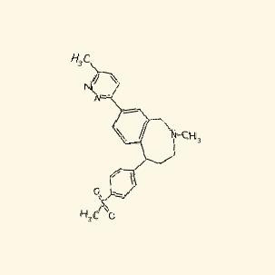 Cc1ccc(-c2ccc3c(c2)CN(C)CCC3c2ccc(S(C)(=O)=O)cc2)nn1